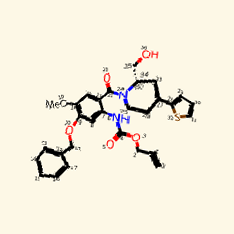 C=CCOC(=O)Nc1cc(OCc2ccccc2)c(OC)cc1C(=O)N1CCC(c2cccs2)=C[C@H]1CO